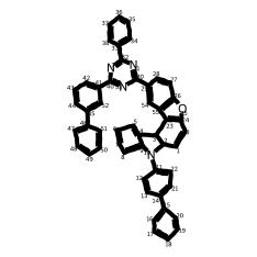 C1=CC2C(c3ccccc3N2c2ccc(-c3ccccc3)cc2)c2c1oc1ccc(-c3nc(-c4ccccc4)nc(-c4cccc(-c5ccccc5)c4)n3)cc21